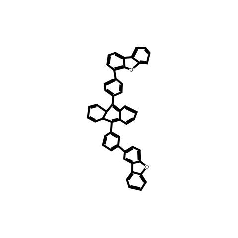 C1=CC2C(c3ccc(-c4cccc5c4oc4ccccc45)cc3)=c3ccccc3=C(c3cccc(-c4ccc5oc6ccccc6c5c4)c3)C2C=C1